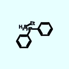 BCC.c1ccc(Pc2ccccc2)cc1